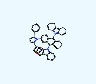 C1=Cc2c(c3c(n2-c2c4c(c(-n5c6ccccc6c6ccccc65)c5cc(-n6c(-c7ccccc7)ccc6-c6ccccc6)ccc25)=CCCC=4)C=CCC3)CC1